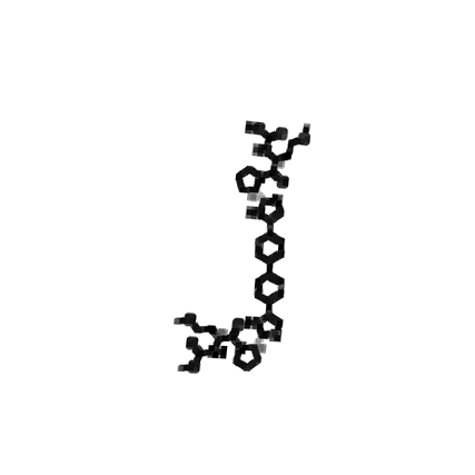 COCC[C@H](NC(=O)O)C(=O)N1CCC[C@H]1c1ncc(-c2ccc(-c3ccc(-c4cnc([C@@H]5CCCN5C(=O)[C@H](CCOC)NC(=O)OC)[nH]4)cc3)cc2)[nH]1